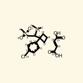 CN(C)C(CS(C)(=O)=O)C1(c2ccc(Cl)cc2)CCC1.O=C(O)C=CC(=O)O